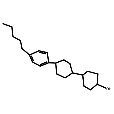 CCCCCc1ccc(C2CCC(C3CCC(O)CC3)CC2)cc1